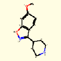 COc1ccc2c(C3CC[N]CC3)noc2c1